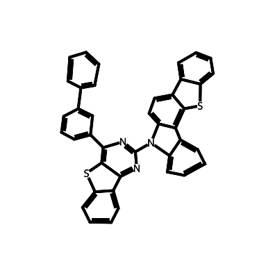 c1ccc(-c2cccc(-c3nc(-n4c5ccccc5c5c6sc7ccccc7c6ccc54)nc4c3sc3ccccc34)c2)cc1